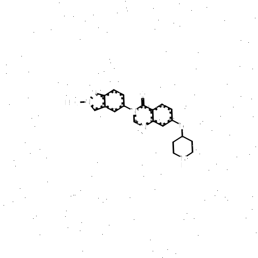 Cn1cc2cc(-n3cnc4cc(NC5CCNCC5)ccc4c3=O)ccc2n1